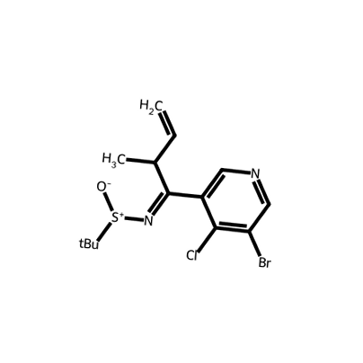 C=CC(C)C(=N[S+]([O-])C(C)(C)C)c1cncc(Br)c1Cl